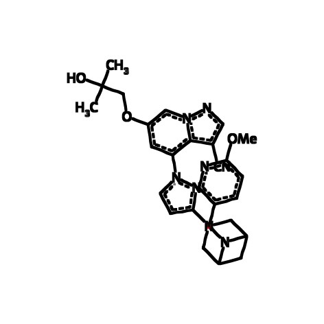 COc1ccc(CN2C3CC2CN(c2ccn(-c4cc(OCC(C)(C)O)cn5ncc(C#N)c45)n2)C3)cn1